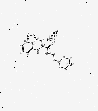 Cl.Cl.Cl.O=C(NCCN1CCNCC1)C1=Cc2cnc3cccc(n23)S1